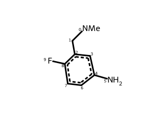 CNCc1cc(N)ccc1F